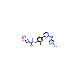 CCn1cc(Nc2nccc(-c3ccc(CNC(=O)N4CC(OC(C)(C)C)C4)c(C)c3)n2)cn1